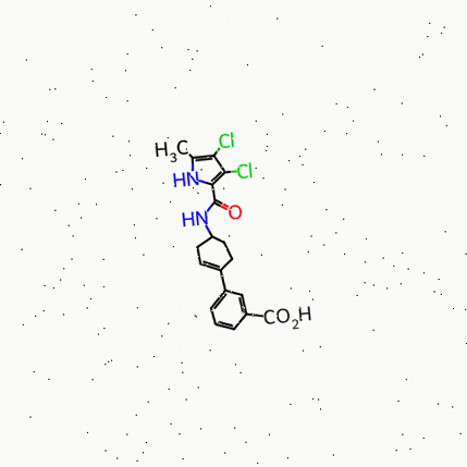 Cc1[nH]c(C(=O)NC2CC=C(c3cccc(C(=O)O)c3)CC2)c(Cl)c1Cl